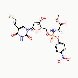 COC(=O)[C@H](C)NP(=O)(OCC1O[C@@H](n2cc(/C=C/Br)c(=O)[nH]c2=O)C[C@H]1O)Oc1ccc([N+](=O)[O-])cc1